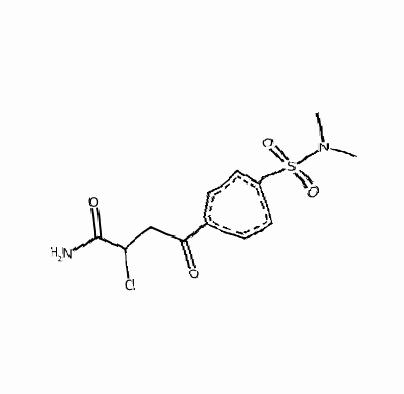 CN(C)S(=O)(=O)c1ccc(C(=O)CC(Cl)C(N)=O)cc1